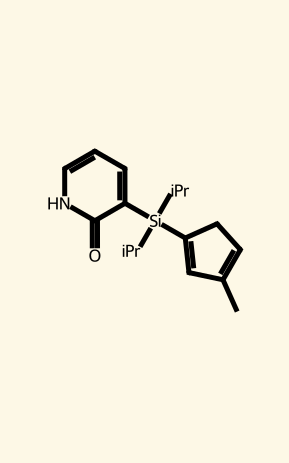 CC1=CCC([Si](c2ccc[nH]c2=O)(C(C)C)C(C)C)=C1